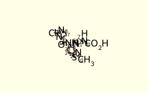 Cc1nc2c(N3CCC(NC(=O)O)C3)c(NC(=O)c3ccnc(Cl)n3)ccc2s1